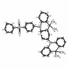 CC1(C)c2ccccc2N(c2ccc3c(c2)C(C)(C)c2ccccc2N3c2ccc(S(=O)(=O)c3ccccc3)cc2)c2ccccc21